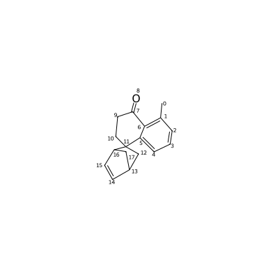 Cc1cccc2c1C(=O)CCC21CC2C=CC1C2